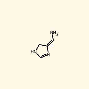 N/C=C1\CNC=N1